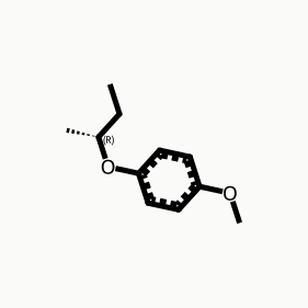 CC[C@@H](C)Oc1ccc(OC)cc1